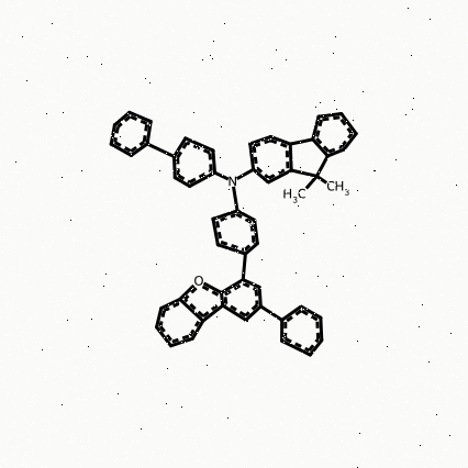 CC1(C)c2ccccc2-c2ccc(N(c3ccc(-c4ccccc4)cc3)c3ccc(-c4cc(-c5ccccc5)cc5c4oc4ccccc45)cc3)cc21